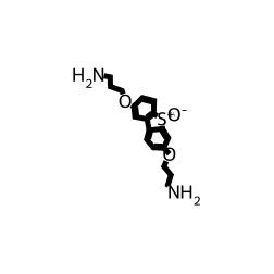 NCCCOc1ccc2c(c1)c1ccc(OCCCN)cc1[s+]2[O-]